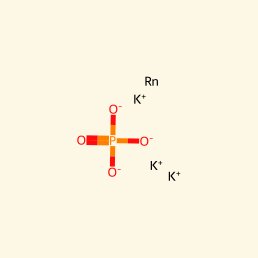 O=P([O-])([O-])[O-].[K+].[K+].[K+].[Rn]